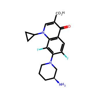 N[C@H]1CCCN(c2c(F)cc3c(=O)c(C(=O)O)cn(C4CC4)c3c2F)C1